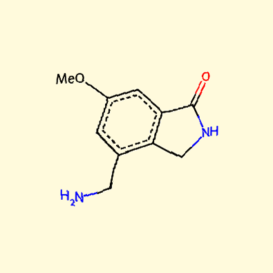 COc1cc(CN)c2c(c1)C(=O)NC2